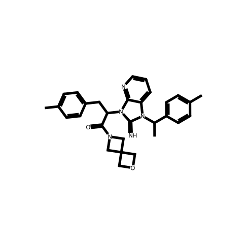 Cc1ccc(CC(C(=O)N2CC3(COC3)C2)n2c(=N)n(C(C)c3ccc(C)cc3)c3cccnc32)cc1